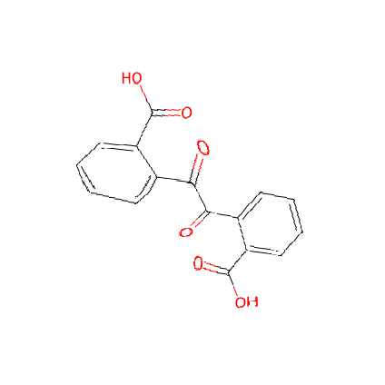 O=C(O)c1ccccc1C(=O)C(=O)c1ccccc1C(=O)O